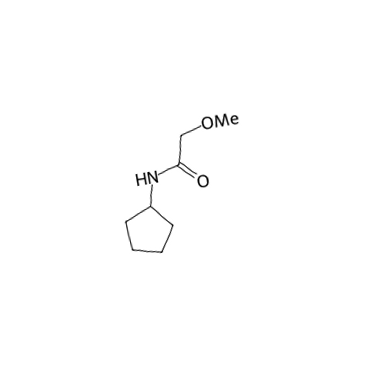 COCC(=O)NC1CCCC1